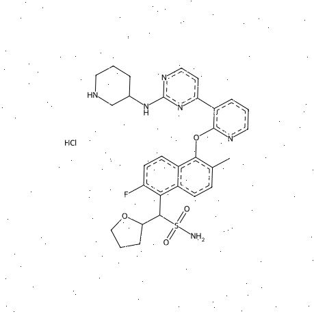 Cc1ccc2c(C(C3CCCO3)S(N)(=O)=O)c(F)ccc2c1Oc1ncccc1-c1ccnc(NC2CCCNC2)n1.Cl